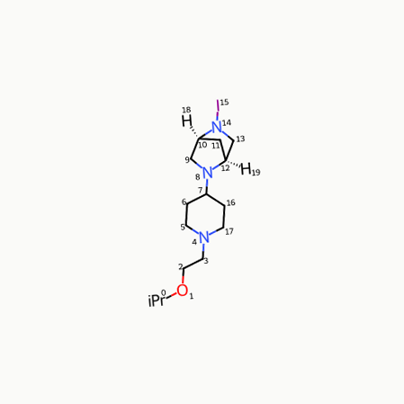 CC(C)OCCN1CCC(N2C[C@@H]3C[C@H]2CN3I)CC1